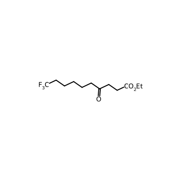 CCOC(=O)CCC(=O)CCCCCC(F)(F)F